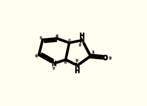 O=C1NC2C=CC=NC2N1